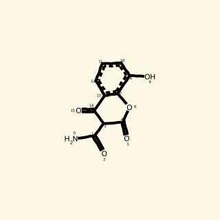 NC(=O)C1C(=O)Oc2c(O)cccc2C1=O